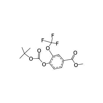 COC(=O)c1ccc(OC(=O)OC(C)(C)C)c(OC(F)(F)F)c1